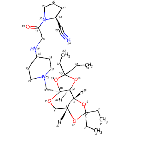 CCC1(CC)O[C@@H]2[C@@H](CO[C@@]3(CN4CCC(NCC(=O)N5CCC[C@H]5C#N)CC4)OC(CC)(CC)O[C@@H]23)O1